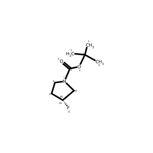 CC(C)(C)OC(=O)N1CC[C@@H](F)C1